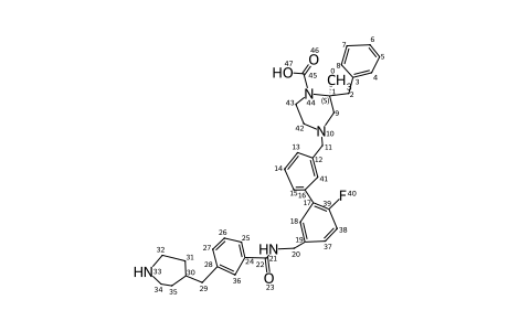 C[C@]1(Cc2ccccc2)CN(Cc2cccc(-c3cc(CNC(=O)c4cccc(CC5CCNCC5)c4)ccc3F)c2)CCN1C(=O)O